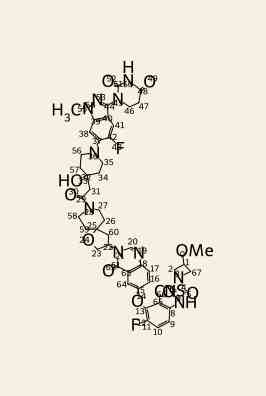 COC1CN(S(=O)(=O)Nc2ccc(F)c(Oc3ccc4ncn([C@H]5COC6(CCN(C(=O)CC7(O)CCN(c8cc9c(cc8F)c(N8CCC(=O)NC8=O)nn9C)CC7)CC6)C5)c(=O)c4c3)c2C#N)C1